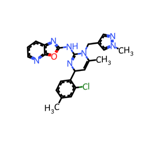 CC1=CC(c2ccc(C)cc2Cl)N=C(Nc2nc3cccnc3o2)N1Cc1cnn(C)c1